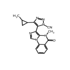 CC1CC1c1nnn(C#N)c1-c1ncn2c3ccccc3c(=O)n(C)c12